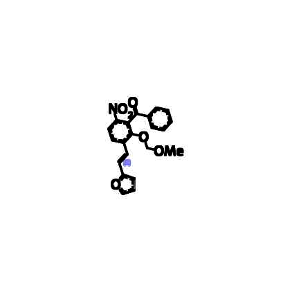 COCOc1c(/C=C/c2ccco2)ccc([N+](=O)[O-])c1C(=O)c1ccccc1